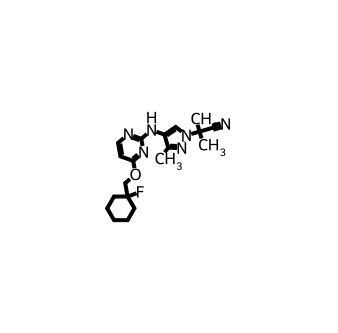 Cc1nn(C(C)(C)C#N)cc1Nc1nccc(OCC2(F)CCCCC2)n1